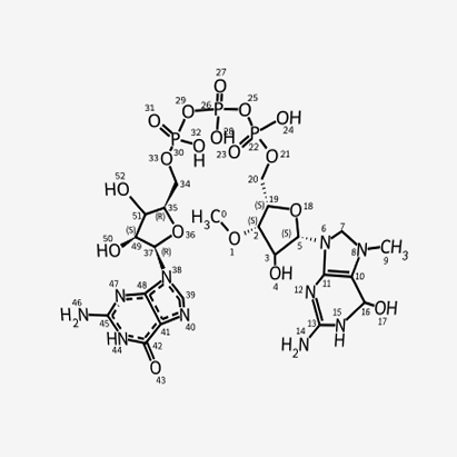 CO[C@H]1C(O)[C@@H](N2CN(C)C3=C2N=C(N)NC3O)O[C@H]1COP(=O)(O)OP(=O)(O)OP(=O)(O)OC[C@H]1O[C@@H](n2cnc3c(=O)[nH]c(N)nc32)[C@@H](O)C1O